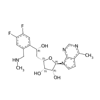 CNCc1cc(F)c(F)cc1[C@H](O)C[C@@H]1O[C@@H](n2ccc3c(C)ncnc32)[C@H](O)[C@@H]1O